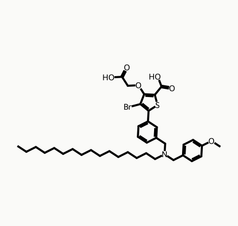 CCCCCCCCCCCCCCCCN(Cc1ccc(OC)cc1)Cc1cccc(-c2sc(C(=O)O)c(OCC(=O)O)c2Br)c1